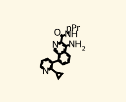 CCCNC(=O)c1ncc2c(-c3cccnc3C3CC3)cccc2c1N